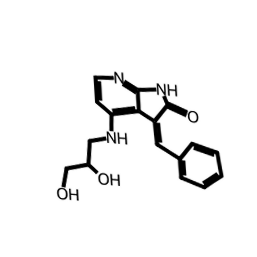 O=C1Nc2nccc(NCC(O)CO)c2C1=Cc1ccccc1